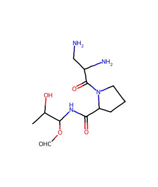 CC(O)C(NC(=O)C1CCCN1C(=O)C(N)CN)OC=O